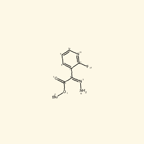 CC(C)(C)OC(=O)/C(=N\N)c1cccnc1F